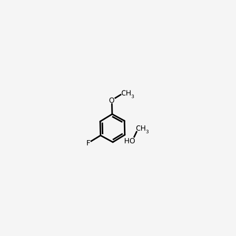 CO.COc1cccc(F)c1